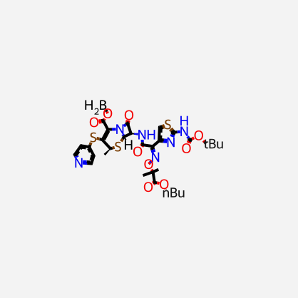 BOC(=O)C1=C(Sc2ccncc2)[C@H](C)S[C@@H]2[C@H](NC(=O)/C(=N\OC(C)(C)C(=O)OCCCC)c3csc(NC(=O)OC(C)(C)C)n3)C(=O)N12